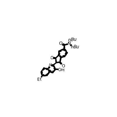 CCCCN(CCCC)C(=O)c1ccc2c(c1)C(=O)C(c1nc3ccc(CC)cc3cc1O)C2=O